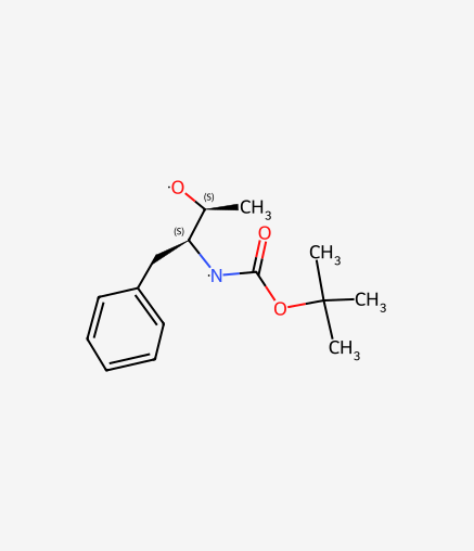 C[C@H]([O])[C@H](Cc1ccccc1)[N]C(=O)OC(C)(C)C